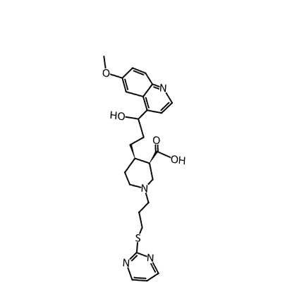 COc1ccc2nccc(C(O)CC[C@@H]3CCN(CCCSc4ncccn4)C[C@@H]3C(=O)O)c2c1